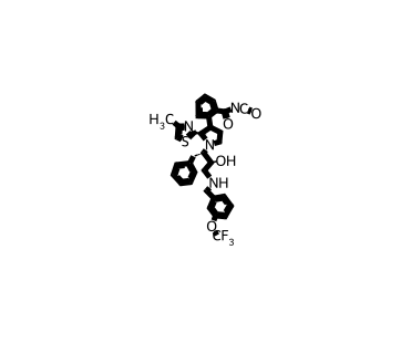 Cc1csc([C@H]2C(c3ccccc3C(=O)N=C=O)CCN2[C@@H](Cc2ccccc2)[C@H](O)CNCc2cccc(OC(F)(F)F)c2)n1